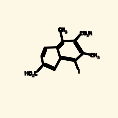 Cc1c(C(=O)O)c(C)c2ccc(C(=O)O)cc2c1I